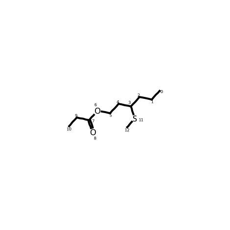 CCCC(CCOC(=O)CC)SC